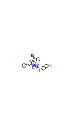 CC[C@H](CN1CC[13C@@H]([13CH2][15NH]C(=O)c2ccc3cc(Cl)ccc3c2)N[C@@H](CCN2CCCCC2)C1=O)c1ccccc1